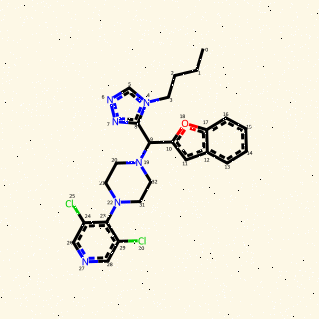 CCCCn1cnnc1C(c1cc2ccccc2o1)N1CCN(c2c(Cl)cncc2Cl)CC1